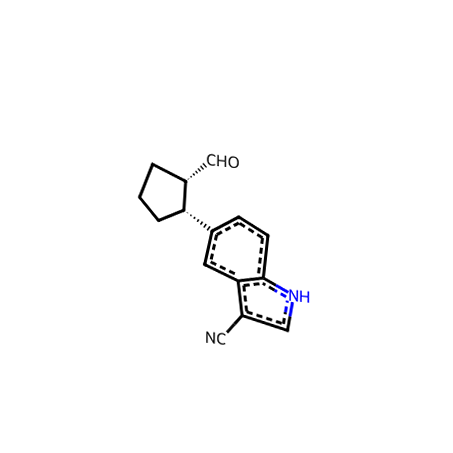 N#Cc1c[nH]c2ccc([C@@H]3CCC[C@@H]3C=O)cc12